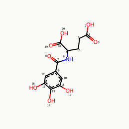 O=C(O)CCC(NC(=O)c1cc(O)c(O)c(O)c1)C(=O)O